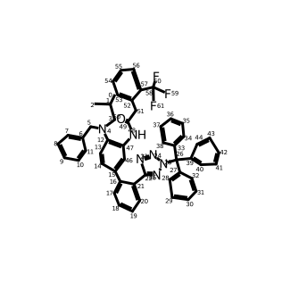 CC(C)CN(Cc1ccccc1)c1ccc(-c2ccccc2-c2nnn(C(c3ccccc3)(c3ccccc3)c3ccccc3)n2)cc1NC(=O)Cc1ccccc1C(F)(F)F